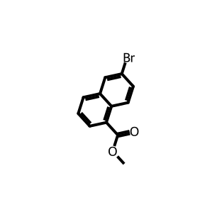 COC(=O)c1cccc2cc(Br)ccc12